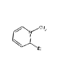 CCC1C=CC=CN1C